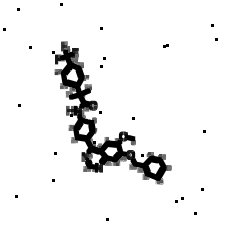 COc1cc2c(-c3ccc(NC(=O)C(C)(C)c4ccc(C(F)(F)F)cc4)cc3)ncnc2cc1OCc1ccccc1